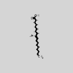 CCCCCCCCC=CCCCCCCCC(=O)O.[In]